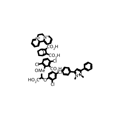 CC(Oc1ccc(Cl)cc1Cl)C(=O)O.COc1c(Cl)ccc(Cl)c1C(=O)O.Cn1c(-c2ccccc2)cc(-c2ccccc2)[n+]1C.O=C(O)C1C2CCC(O2)C1C(=O)O.c1cc[n+]2c(c1)-c1cccc[n+]1CC2